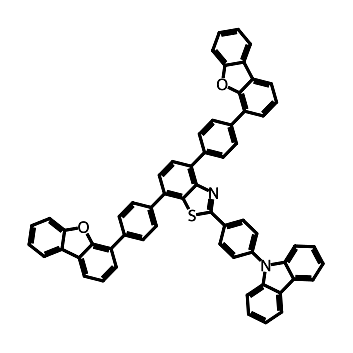 c1ccc2c(c1)oc1c(-c3ccc(-c4ccc(-c5ccc(-c6cccc7c6oc6ccccc67)cc5)c5sc(-c6ccc(-n7c8ccccc8c8ccccc87)cc6)nc45)cc3)cccc12